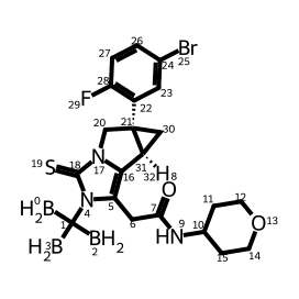 BC(B)(B)n1c(CC(=O)NC2CCOCC2)c2n(c1=S)C[C@@]1(c3cc(Br)ccc3F)C[C@@H]21